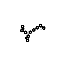 CC1(C)c2ccccc2-c2ccc(N(c3ccc(-c4ccc(-c5ccc(-c6cccc7c6oc6ccccc67)cc5)cc4)cc3)c3ccc(-c4cccc5c4oc4ccccc45)cc3)cc21